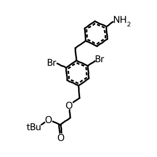 CC(C)(C)OC(=O)COCc1cc(Br)c(Cc2ccc(N)cc2)c(Br)c1